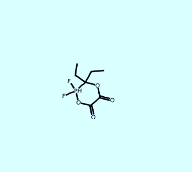 CCC1(CC)OC(=O)C(=O)O[PH]1(F)F